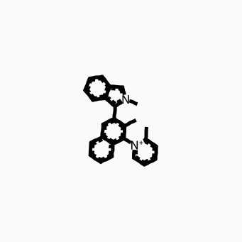 Cc1c(-c2c3ccccc3cn2C)cc2ccccc2c1-[n+]1ccccc1C